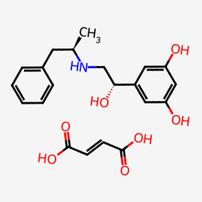 C[C@H](Cc1ccccc1)NC[C@@H](O)c1cc(O)cc(O)c1.O=C(O)C=CC(=O)O